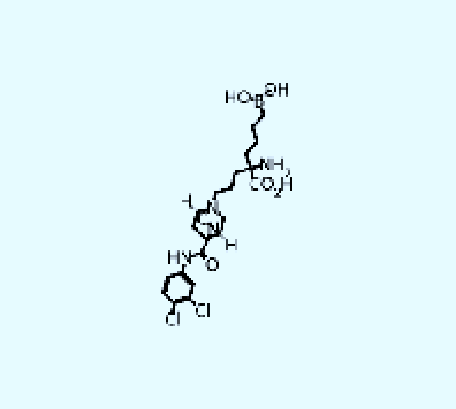 NC(CCCCB(O)O)(CCCN1C[C@H]2CC[C@@H]1CN2C(=O)Nc1ccc(Cl)c(Cl)c1)C(=O)O